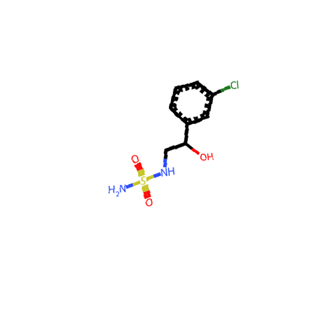 NS(=O)(=O)NCC(O)c1cccc(Cl)c1